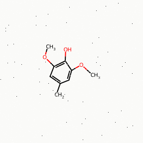 [CH2]c1cc(OC)c(O)c(OC)c1